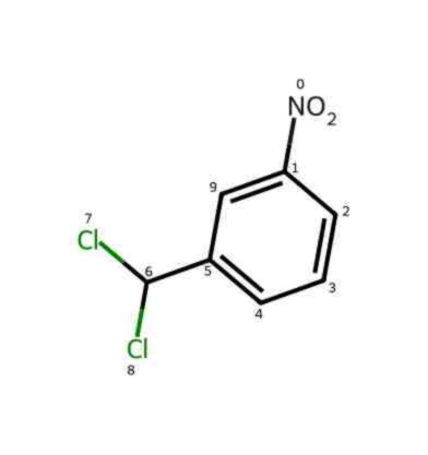 O=[N+]([O-])c1cccc(C(Cl)Cl)c1